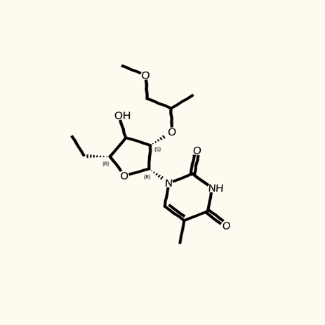 CC[C@H]1O[C@@H](n2cc(C)c(=O)[nH]c2=O)[C@@H](OC(C)COC)C1O